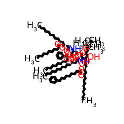 CCCCCCCCCCC[C@H](CC(=O)NC1C(OC[C@H](NC(=O)C[C@@H](CCCCCCCCCCC)OC(=O)CCCCCCCCC)C(=O)OCc2ccccc2)OC(CO[Si](C)(C)C(C)(C)C)C(O)C1OC(=O)C[C@@H](CCCCCCCCCCC)OC(=O)CCCCCCCCc1ccccc1)OC(=O)CCCCCCCCC